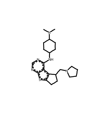 CN(C)C1CCC(Nc2ncnc3sc4c(c23)C(CN2CCCC2)CC4)CC1